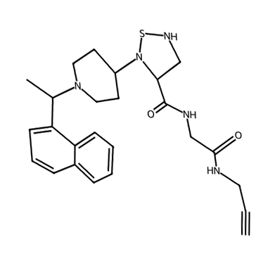 C#CCNC(=O)CNC(=O)C1CNSN1C1CCN(C(C)c2cccc3ccccc23)CC1